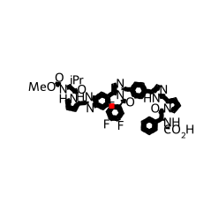 COC(=O)N[C@H](C(=O)n1cccc1-c1nc2cc(F)c(-c3cnc4n3[C@H](c3ccc(F)c(F)c3)Oc3cc(-c5cnc(-c6cccn6C(=O)[C@@H](NC(=O)O)c6ccccc6)[nH]5)ccc3-4)cc2[nH]1)C(C)C